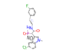 Cn1cc(C(C(=O)N/C=C/c2cccc(F)c2)P(C)(=O)N=O)c2cc(Cl)ccc21